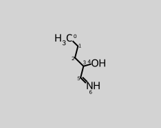 CCCC(O)C=N